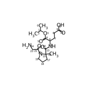 CC(C)OC(=O)C(CCC(=O)O)NC(=O)C1(C)CCCN1C(=O)CN